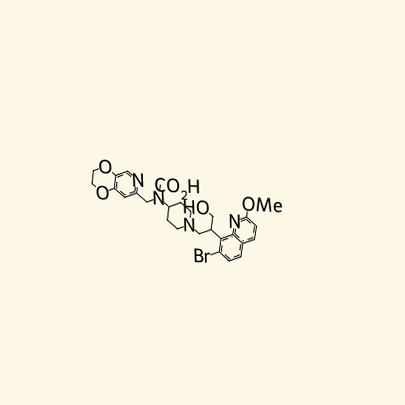 COc1ccc2ccc(Br)c(C(CO)CN3CCC(N(Cc4cc5c(cn4)OCCO5)C(=O)O)CC3)c2n1